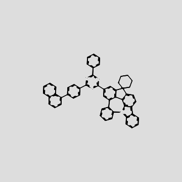 c1ccc(-c2nc(-c3ccc(-c4cccc5ccccc45)cc3)nc(-c3cc4c5c(c3)C3(CCCCC3)c3ccc6c7ccccc7n(c6c3-5)-c3ccccc3-4)n2)cc1